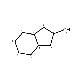 OC1CC2CCCCC2C1